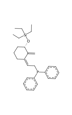 C=C1/C(=C\CP(c2ccccc2)c2ccccc2)CCC[C@@H]1O[Si](CC)(CC)CC